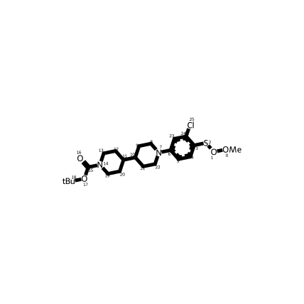 COOSc1ccc(N2CCC(C3CCN(C(=O)OC(C)(C)C)CC3)CC2)cc1Cl